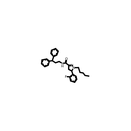 CCCCCN1N=C(C(=O)NCCC(c2ccccc2)c2ccccc2)CC1c1ccccc1F